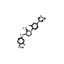 C=C1C(Nc2ccc(OC)c(F)c2)CCN1c1ccc(-c2cn[nH]c2)cc1F